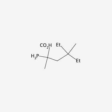 CCC(C)(CC)CC(C)(P)C(=O)O